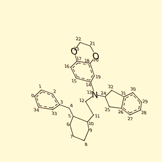 c1ccc(CC2CCCCC2CCN(c2ccc3c(c2)OCCO3)C2Cc3ccccc3C2)cc1